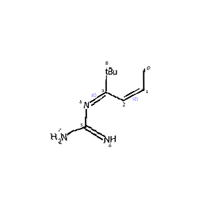 C/C=C\C(=N/C(=N)N)C(C)(C)C